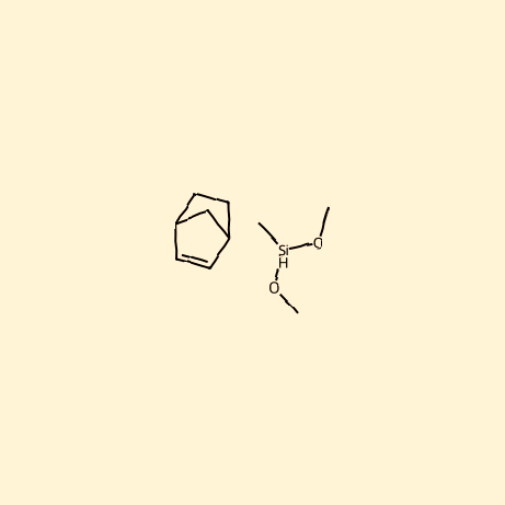 C1=CC2CCC1C2.CO[SiH](C)OC